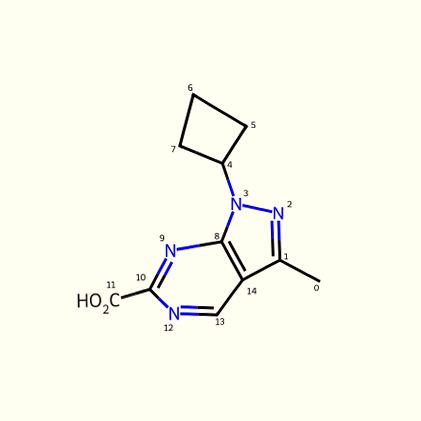 Cc1nn(C2CCC2)c2nc(C(=O)O)ncc12